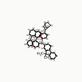 CC1(C)c2ccccc2-c2ccc(N(c3ccc(C4CC5CCC4C5)cc3)c3ccccc3-c3cccc4cccc(-c5ccccc5)c34)cc21